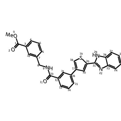 COC(=O)c1cccc(CNC(=O)c2cccc(-c3csc(-c4nc5ccccc5[nH]4)c3)c2)c1